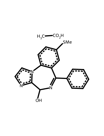 CC(=O)O.CSc1ccc2c(c1)C(c1ccccc1)=NC(O)c1nccn1-2